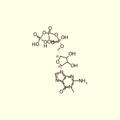 Cn1c(N)nc2c(ncn2[C@@H]2O[C@H](COP(=O)(O)OP(=O)(O)OP(=O)(O)O)C(O)C2O)c1=O